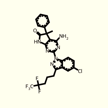 CC1(c2ccccc2)C(=O)Nc2nc(-n3nc(CCCC(F)(F)C(F)(F)F)c4cc(Cl)ccc43)nc(N)c21